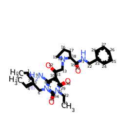 C/C=C\C(=C/C)Cn1c(N)c(C(=O)CN2CCCC2C(=O)NCc2ccccc2)c(=O)n(CC)c1=O